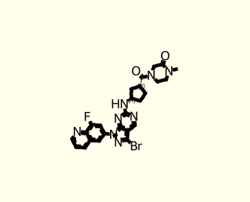 CN1CCN(C(=O)[C@@H]2CC[C@@H](Nc3ncc4c(Br)nn(-c5cc(F)c6ncccc6c5)c4n3)C2)CC1=O